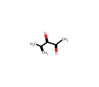 [CH2]C(=O)C(=O)C(=C)C